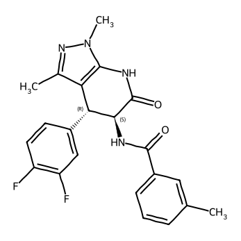 Cc1cccc(C(=O)N[C@@H]2C(=O)Nc3c(c(C)nn3C)[C@H]2c2ccc(F)c(F)c2)c1